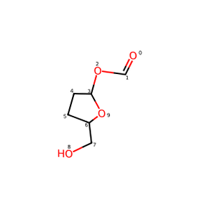 O=COC1CCC(CO)O1